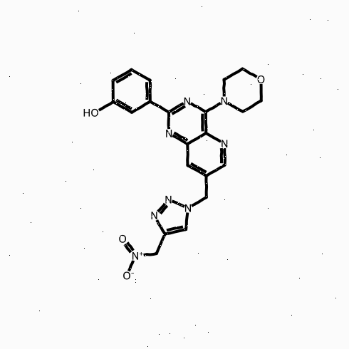 O=[N+]([O-])Cc1cn(Cc2cnc3c(N4CCOCC4)nc(-c4cccc(O)c4)nc3c2)nn1